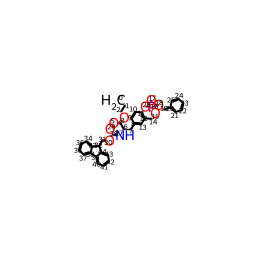 C=CCOC(=O)[C@@H](Cc1ccc2c(c1)COP(=O)(OCc1ccccc1)O2)NC(=O)OCC1c2ccccc2-c2ccccc21